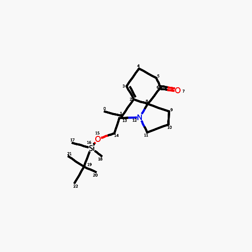 CCC1=CCCC(=O)C12CCCN2CCO[Si](C)(C)C(C)(C)C